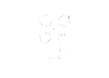 COC(=O)C(C)(C)CCNC(c1ccccc1)(c1ccccc1)c1ccccc1